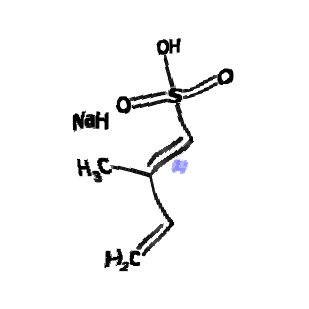 C=C/C(C)=C/S(=O)(=O)O.[NaH]